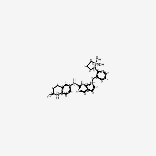 O=C1CCc2cc(Nc3ncc4ccn(Cc5cccnc5N5CCCS5(O)O)c4n3)ccc2N1